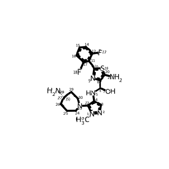 Cn1ncc(NC(O)c2nc(-c3c(F)cccc3F)sc2N)c1N1CCC[C@H](N)CC1